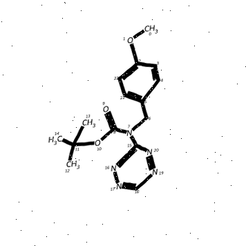 COc1ccc(CN(C(=O)OC(C)(C)C)c2nncnn2)cc1